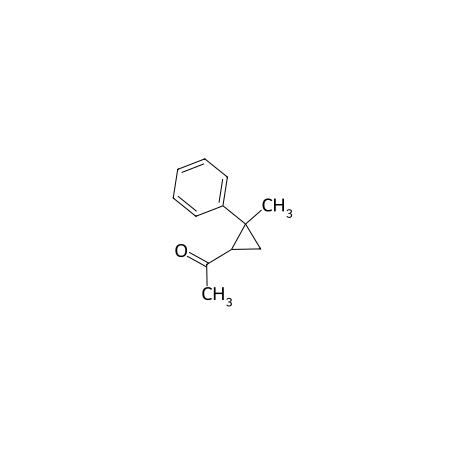 CC(=O)C1CC1(C)c1ccccc1